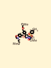 CCC(C(=O)OC)C([C@@H]1C[C@H](c2ccc(COCCOC)cc2)[C@@H](OCc2ccc3c(c2)N(CCCOC)CCO3)CN1)S(=O)(=O)c1ccc(C)cc1